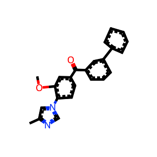 COc1cc(C(=O)c2cccc(-c3ccccc3)c2)ccc1-n1cnc(C)c1